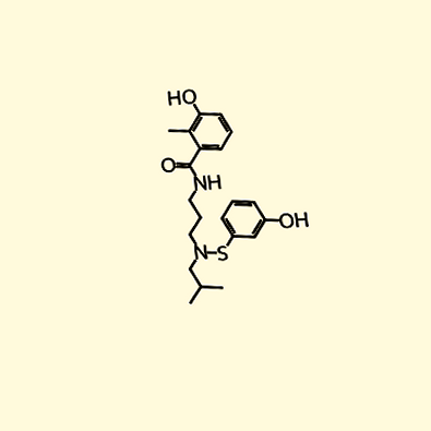 Cc1c(O)cccc1C(=O)NCCCN(CC(C)C)Sc1cccc(O)c1